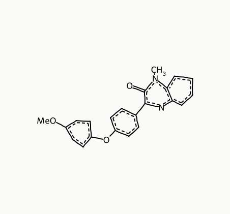 COc1ccc(Oc2ccc(-c3nc4ccccc4n(C)c3=O)cc2)cc1